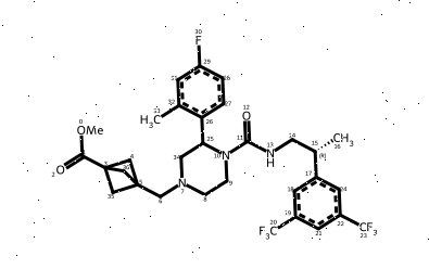 COC(=O)C12CC(CN3CCN(C(=O)NC[C@H](C)c4cc(C(F)(F)F)cc(C(F)(F)F)c4)C(c4ccc(F)cc4C)C3)(C1)C2